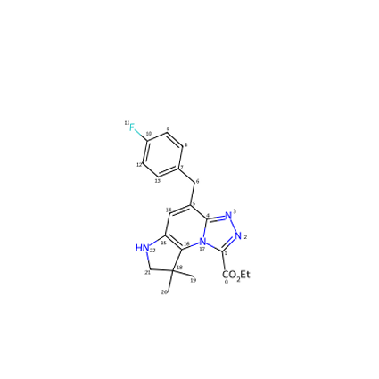 CCOC(=O)c1nnc2c(Cc3ccc(F)cc3)cc3c(n12)C(C)(C)CN3